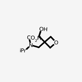 CC(C)N(CC1(CO)COC1)C(=O)O